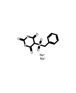 O=C1[N-]C(=O)C(S(=O)(=O)Cc2ccccc2)C(=O)[N-]1.[Na+].[Na+]